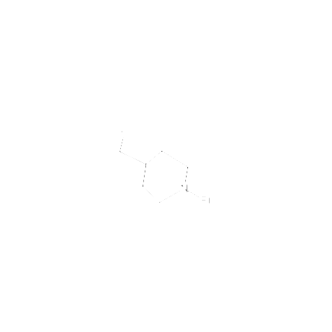 CCN1CCC(CCl)CC1